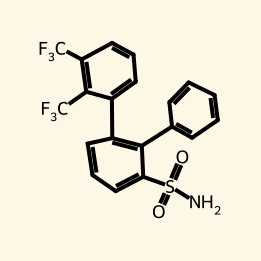 NS(=O)(=O)c1cccc(-c2cccc(C(F)(F)F)c2C(F)(F)F)c1-c1ccccc1